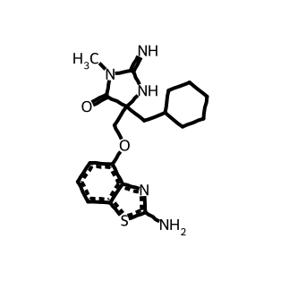 CN1C(=N)NC(COc2cccc3sc(N)nc23)(CC2CCCCC2)C1=O